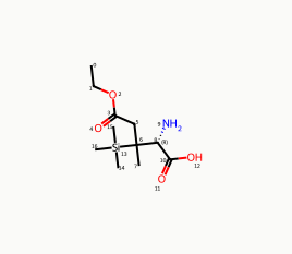 CCOC(=O)CC(C)([C@H](N)C(=O)O)[Si](C)(C)C